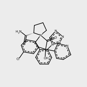 NC(=O)[C@@H]1CCC[N+]1(Cc1ccccc1-n1cnnn1)C(=O)C(O)(c1cccnc1)c1cccc(Cl)c1